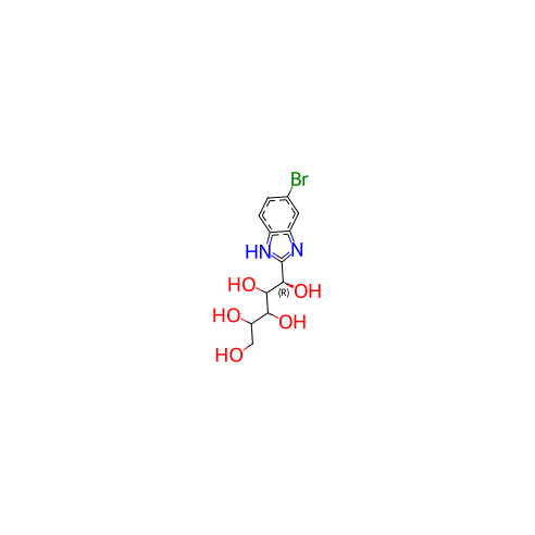 OCC(O)C(O)C(O)[C@H](O)c1nc2cc(Br)ccc2[nH]1